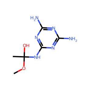 COC(C)(O)Nc1nc(N)nc(N)n1